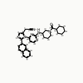 N#CCc1cnc(-c2ccc3ccccc3c2)n1-c1ccnc(NC2CCCN(C(=O)C3CCCCC3)C2)n1